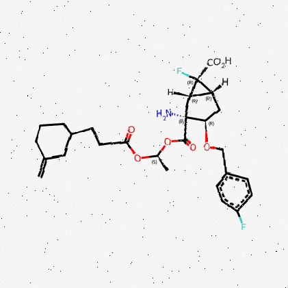 C=C1CCCC(CCC(=O)O[C@H](C)OC(=O)[C@@]2(N)[C@H]3[C@@H](C[C@H]2OCc2ccc(F)cc2)[C@]3(F)C(=O)O)C1